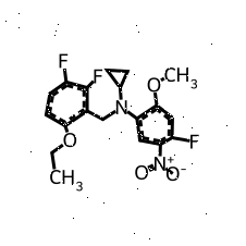 CCOc1ccc(F)c(F)c1CN(c1cc([N+](=O)[O-])c(F)cc1OC)C1CC1